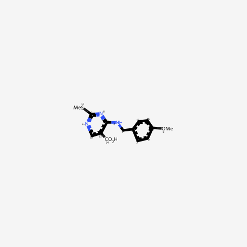 COc1ccc(CNc2nc(SC)ncc2C(=O)O)cc1